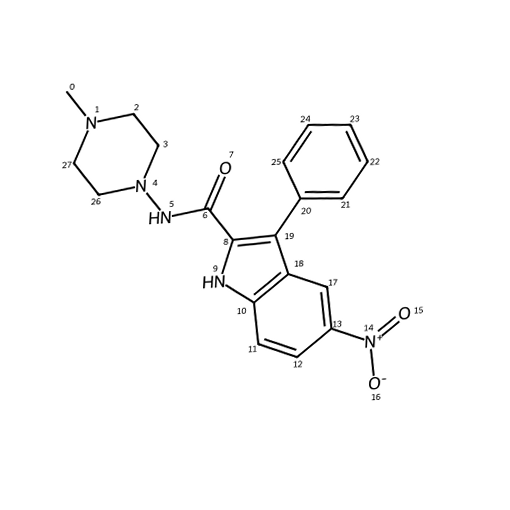 CN1CCN(NC(=O)c2[nH]c3ccc([N+](=O)[O-])cc3c2-c2ccccc2)CC1